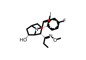 CCC(=NOC)[C@@H]1C2[C@H](O)CC(C[C@@H]1c1ccc(F)cc1)N2CC=CI